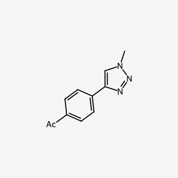 CC(=O)c1ccc(-c2cn(C)nn2)cc1